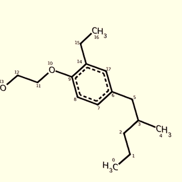 CCCC(C)Cc1ccc(OCCO)c(CC)c1